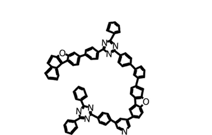 c1ccc(-c2nc(-c3ccccc3)nc(-c3ccc(-c4cncc(-c5ccc6oc7cc(-c8cccc(-c9ccc(-c%10nc(-c%11ccccc%11)nc(-c%11ccc(-c%12ccc%13c(c%12)oc%12ccc%14ccccc%14c%12%13)cc%11)n%10)cc9)c8)ccc7c6c5)c4)cc3)n2)cc1